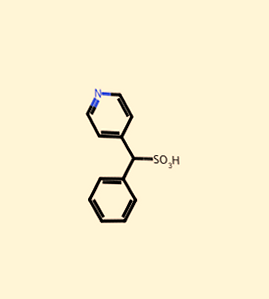 O=S(=O)(O)C(c1ccccc1)c1ccncc1